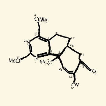 COc1nc(OC)c2c(n1)C1(C)C=C(C#N)C(=O)CC1CC2